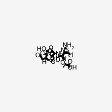 C[C@@H](O/N=C(\C(=O)N[C@@H]1C(=O)N2[C@@H]1[S@@+]([O-])C[C@@H]1CC(=O)O[C@@]12C(=O)O)c1nc(N)sc1Cl)C(=O)O